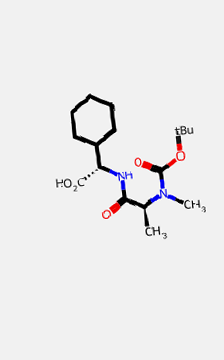 C[C@@H](C(=O)N[C@H](C(=O)O)C1CCCCC1)N(C)C(=O)OC(C)(C)C